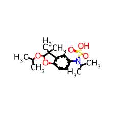 CC(C)OC1Oc2ccc(N(C(C)C)S(=O)(=O)O)cc2C1(C)C